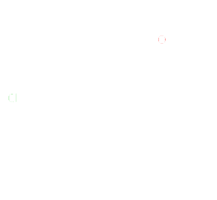 Clc1ccc(-c2cccc3ccc4oc5ccccc5c4c23)cc1